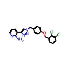 Nc1ncccc1-c1cn(Cc2ccc(OCc3cccc(Cl)c3Cl)cc2)nn1